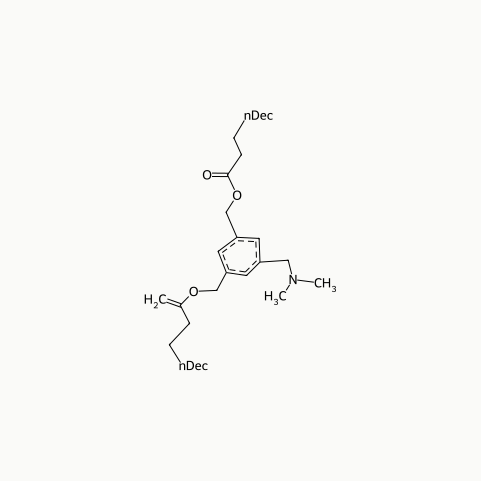 C=C(CCCCCCCCCCCC)OCc1cc(COC(=O)CCCCCCCCCCCC)cc(CN(C)C)c1